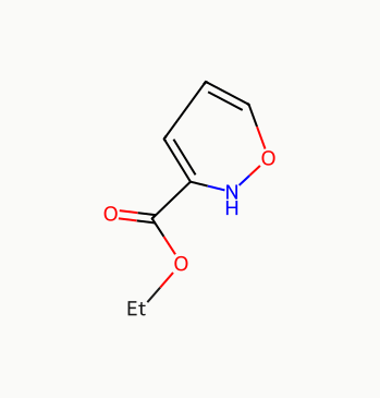 CCOC(=O)C1=CC=CON1